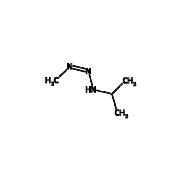 C/N=N\NC(C)C